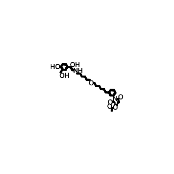 CC(=O)ON1CC(=O)N(c2cccc(CCCCCCOCCCCCCNC[C@@H](O)c3ccc(O)c(CO)c3)c2)C1=O